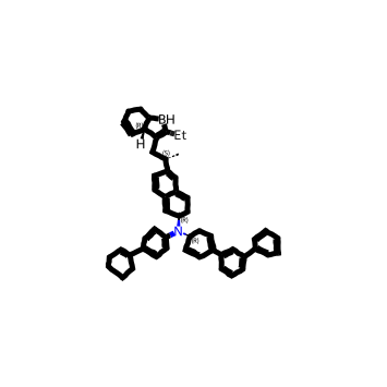 CCC1=C(C[C@H](C)c2ccc3c(c2)=CC[C@@H](N(c2ccc(C4=CCCCC4)cc2)[C@H]2C=CC(c4cccc(-c5ccccc5)c4)=CC2)C=3)[C@@H]2C#CCCC2B1